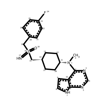 CN(c1ncnc2[nH]ccc12)[C@H]1CC[C@@H](CS(=N)(=O)Cc2ccc(F)cc2)CC1